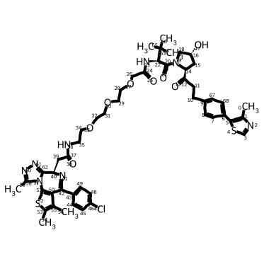 Cc1ncsc1-c1ccc(CCC(=O)[C@@H]2C[C@@H](O)CN2C(=O)[C@@H](NC(=O)COCCOCCOCCNC(=O)C[C@H]2N=C(c3ccc(Cl)cc3)c3c(sc(C)c3C)-n3c(C)nnc32)C(C)(C)C)cc1